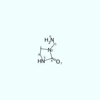 NCN1CCNC1=O